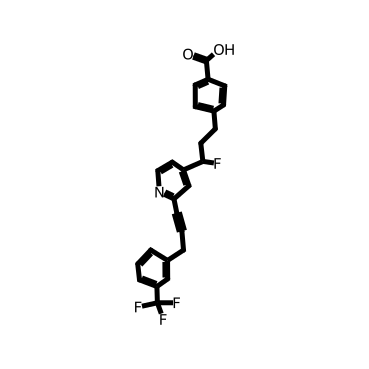 O=C(O)c1ccc(CCC(F)c2ccnc(C#CCc3cccc(C(F)(F)F)c3)c2)cc1